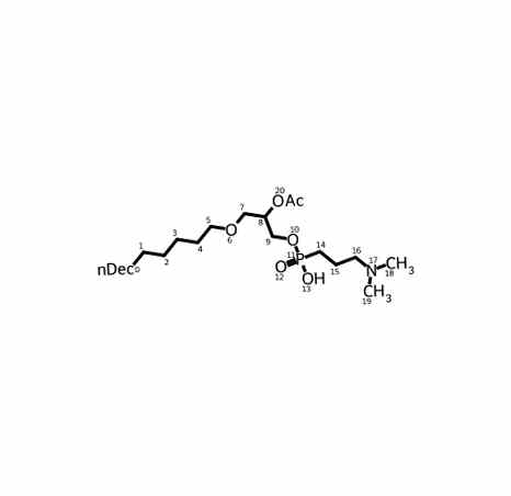 CCCCCCCCCCCCCCCOCC(COP(=O)(O)CCCN(C)C)OC(C)=O